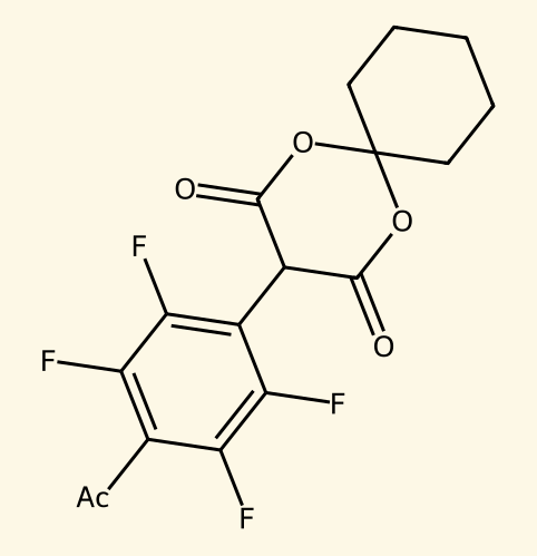 CC(=O)c1c(F)c(F)c(C2C(=O)OC3(CCCCC3)OC2=O)c(F)c1F